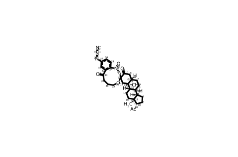 CC(=O)[C@H]1CC[C@H]2[C@@H]3CC[C@H]4CC(=O)C5(C[C@]4(C)[C@H]3CC[C@]12C)N[N+](=O)c1ccc(N=[N+]=[N-])cc1C(=O)CCCO5